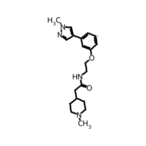 CN1CCC(CC(=O)NCCOc2c[c]cc(-c3cnn(C)c3)c2)CC1